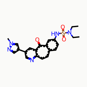 CCN(CC)S(=O)(=O)Nc1ccc2ccc3ncc(-c4cnn(C)c4)cc3c(=O)c2c1